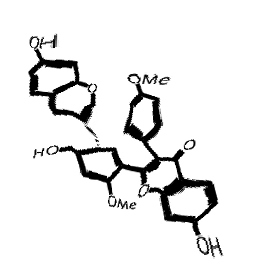 COC1=CC(O)[C@H](C2COc3cc(O)ccc3C2)C=C1c1oc2cc(O)ccc2c(=O)c1-c1ccc(OC)cc1